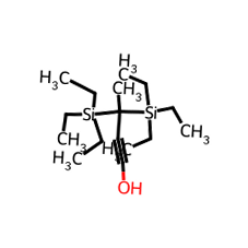 CC[Si](CC)(CC)C(C)(C#CO)[Si](CC)(CC)CC